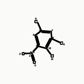 O=[N+]([O-])c1cc(Cl)cc(Cl)c1Cl